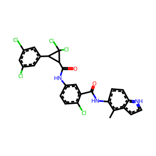 Cc1c(NC(=O)c2cc(NC(=O)C3C(c4cc(Cl)cc(Cl)c4)C3(Cl)Cl)ccc2Cl)ccc2[nH]ccc12